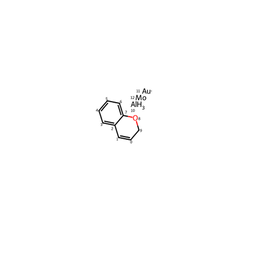 C1=Cc2ccccc2OC1.[AlH3].[Au].[Mo]